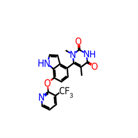 Cc1c(-c2ccc(Oc3ncccc3C(F)(F)F)c3[nH]ccc23)n(C)c(=O)[nH]c1=O